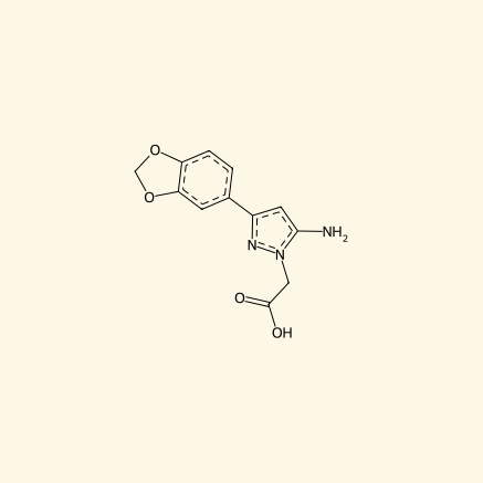 Nc1cc(-c2ccc3c(c2)OCO3)nn1CC(=O)O